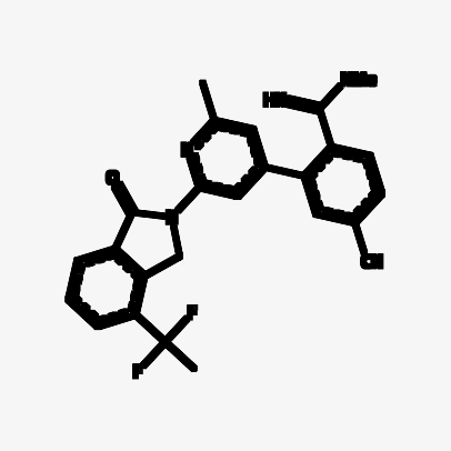 CNC(=N)c1ccc(C#N)cc1-c1cc(C)nc(N2Cc3c(cccc3C(C)(F)F)C2=O)c1